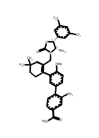 COC(=O)c1ccc(-c2ccc(OC)c(C3=C(CN4C(=O)O[C@H](c5cc(C(F)(F)F)cc(C(F)(F)F)c5)[C@@H]4C)CC(C)(C)CC3)c2)c([N+](=O)[O-])c1